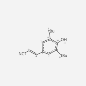 CC(C)(C)c1cc(C=CC#N)cc(C(C)(C)C)c1O